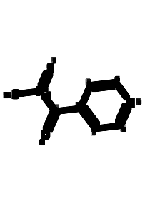 O=C(c1ccncc1)[N+](=S)[S-]